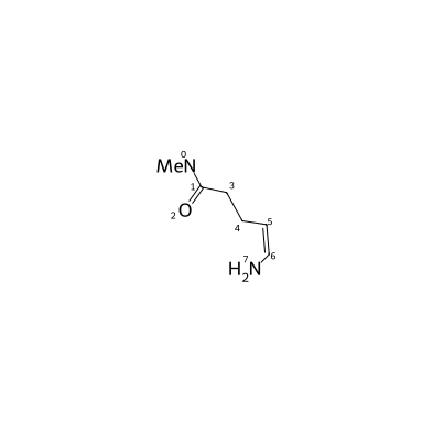 CNC(=O)CC/C=C\N